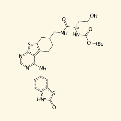 CC(C)(C)OC(=O)N[C@@H](CCO)C(=O)NCC1CCc2c(sc3ncnc(Nc4ccc5[nH]c(=O)sc5c4)c23)C1